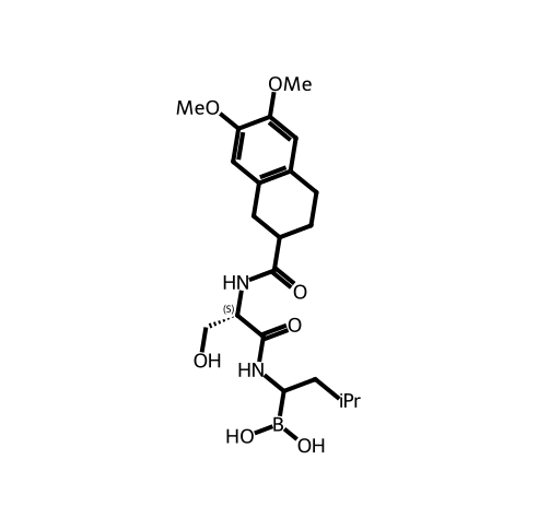 COc1cc2c(cc1OC)CC(C(=O)N[C@@H](CO)C(=O)NC(CC(C)C)B(O)O)CC2